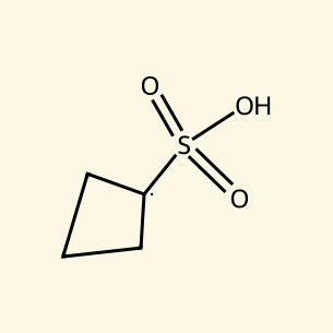 O=S(=O)(O)[C]1CCC1